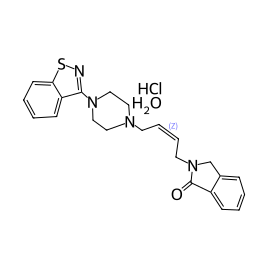 Cl.O.O=C1c2ccccc2CN1C/C=C\CN1CCN(c2nsc3ccccc23)CC1